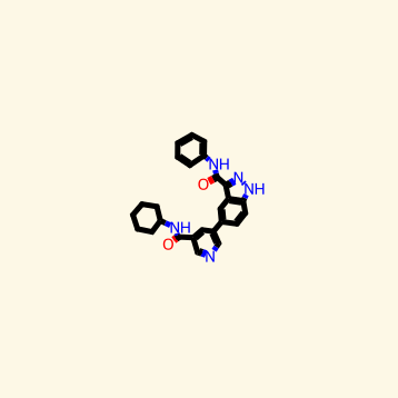 O=C(NC1CCCCC1)c1cncc(-c2ccc3[nH]nc(C(=O)Nc4ccccc4)c3c2)c1